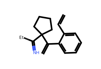 C=Cc1ccccc1C(=C)C1(C(=N)CC)CCCC1